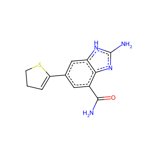 NC(=O)c1cc(C2=CCCS2)cc2[nH]c(N)nc12